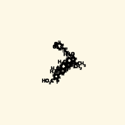 C=C(C)[C@@H]1CC[C@]2(C(=O)NCCCN3CCS(=O)(=O)CC3)CC[C@]3(C)[C@H](CC[C@@H]4[C@@]5(C)CC=C(c6ccc(C(=O)O)c(F)c6)C(C)(C)[C@@H]5CC[C@]43C)[C@@H]12